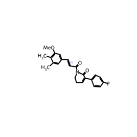 COc1cc(/C=C/C(=O)N2CCC=C(c3ccc(F)cc3)C2=O)cc(C)c1C